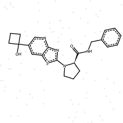 O=C(NCc1ccccc1)[C@H]1CCCN1c1nc2ncc(C3(O)CCC3)cc2s1